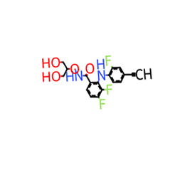 C#Cc1ccc(Nc2c(C(=O)NOC(CO)CO)ccc(F)c2F)c(F)c1